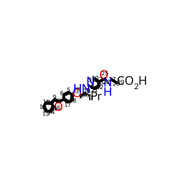 CC(C)[C@@H](COc1ccc(-c2cc3ccccc3o2)cc1)Nc1ccc(C(=O)NCCC(=O)O)cn1